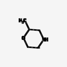 CC1CN[CH]CO1